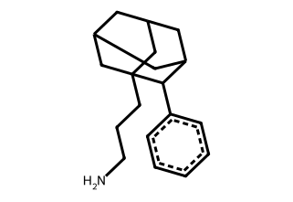 NCCCC12CC3CC(CC(C3)C1c1ccccc1)C2